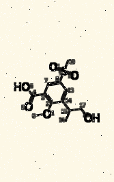 COc1c(C(=O)O)cc(S(C)(=O)=O)cc1C(C)CO